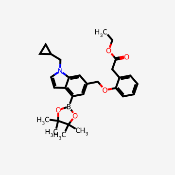 CCOC(=O)Cc1ccccc1OCc1cc(B2OC(C)(C)C(C)(C)O2)c2ccn(CC3CC3)c2c1